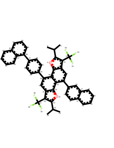 CC(C)c1oc2c(cc(-c3ccc4ccccc4c3)c3c4oc(C(C)C)c(C(F)(F)F)c4cc(-c4ccc(-c5cccc6ccccc56)cc4)c23)c1C(F)(F)F